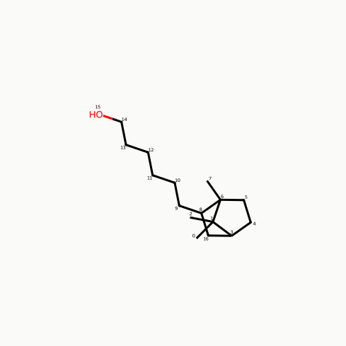 CC1(C)C2CCC1(C)C(CCCCCCO)C2